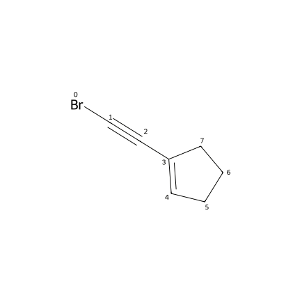 BrC#CC1=CCCC1